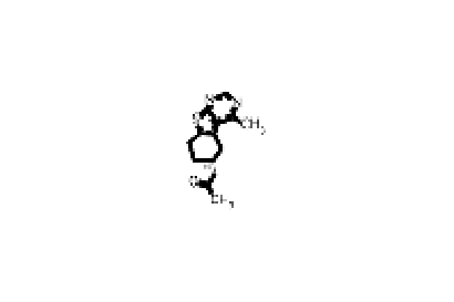 CC(=O)C[C@@H]1CCc2sc3ncnc(C)c3c2C1